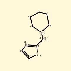 c1csc(NN2CCCCC2)n1